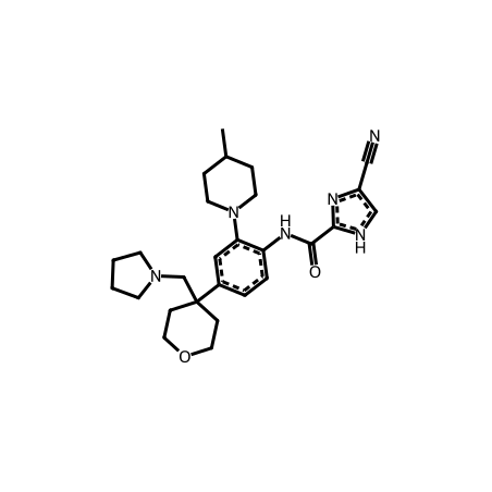 CC1CCN(c2cc(C3(CN4CCCC4)CCOCC3)ccc2NC(=O)c2nc(C#N)c[nH]2)CC1